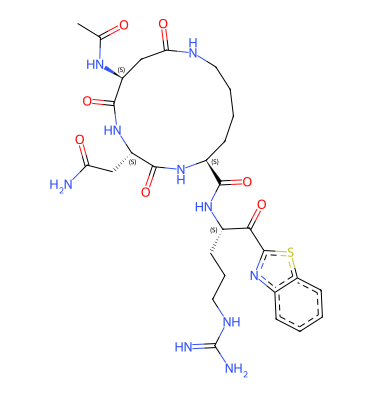 CC(=O)N[C@H]1CC(=O)NCCCC[C@@H](C(=O)N[C@@H](CCCNC(=N)N)C(=O)c2nc3ccccc3s2)NC(=O)[C@H](CC(N)=O)NC1=O